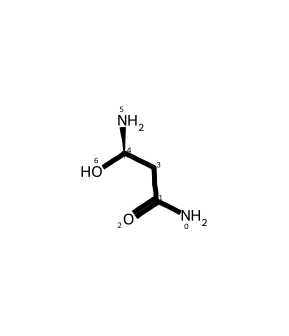 NC(=O)C[C@H](N)O